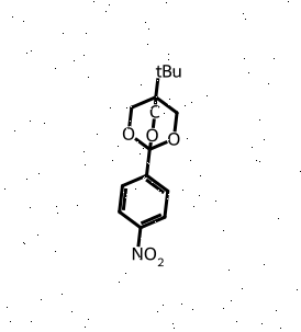 CC(C)(C)C12COC(c3ccc([N+](=O)[O-])cc3)(OC1)OC2